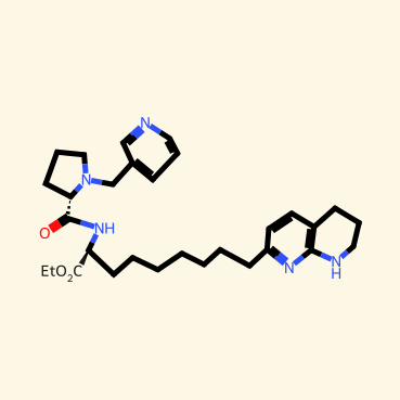 CCOC(=O)[C@H](CCCCCCCc1ccc2c(n1)NCCC2)NC(=O)[C@@H]1CCCN1Cc1cccnc1